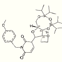 COc1ccc(CN2C(=O)C=CC(C3O[C@@H]4CO[Si](C(C)C)(C(C)C)O[Si](C(C)C)(C(C)C)O[C@H]4[C@]34CCO4)C2=O)cc1